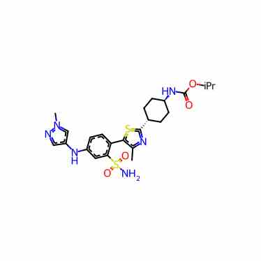 Cc1nc([C@H]2CC[C@H](NC(=O)OC(C)C)CC2)sc1-c1ccc(Nc2cnn(C)c2)cc1S(N)(=O)=O